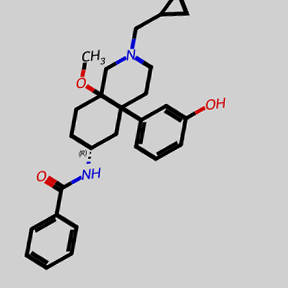 COC12CC[C@@H](NC(=O)c3ccccc3)CC1(c1cccc(O)c1)CCN(CC1CC1)C2